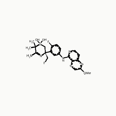 COc1cnc2c(Nc3ccc(F)c([C@@]4(CF)CS(O)(O)C(C)(C)C(N)=N4)c3)nccc2n1